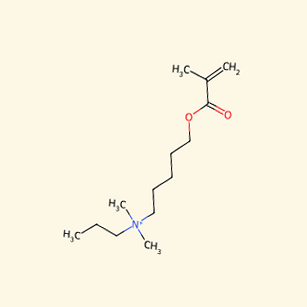 C=C(C)C(=O)OCCCCC[N+](C)(C)CCC